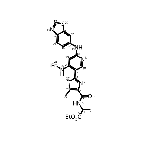 CCOC(=O)C(C)NC(=O)c1nc(-c2cnc(Nc3ccc4ncsc4c3)cc2NC(C)C)oc1C